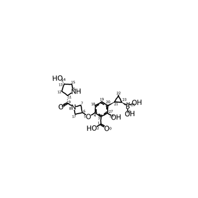 O=C(O)c1c(OC2CN(C(=O)[C@@H]3C[C@H](O)CN3)C2)ccc([C@H]2C[C@H]2B(O)O)c1O